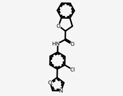 O=C(Nc1ccc(-c2cnco2)c(Cl)c1)C1Cc2ccccc2O1